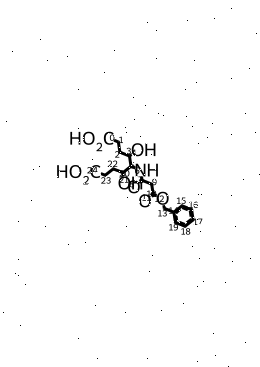 O=C(O)CCC(O)C(NC(=O)CC(=O)OCc1ccccc1)C(O)CCC(=O)O